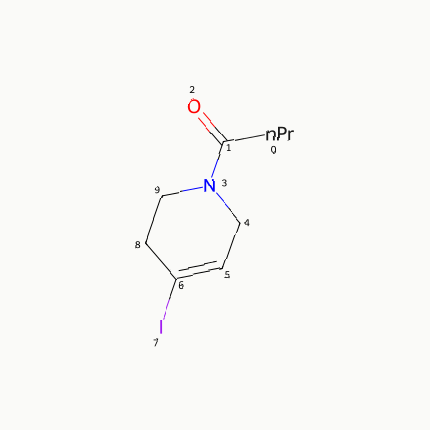 CCCC(=O)N1CC=C(I)CC1